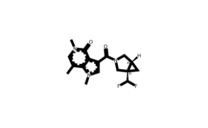 Cc1cn(C)c(=O)c2c(C(=O)N3C[C@@H]4C[C@]4(C(F)F)C3)cn(C)c12